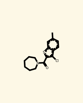 Cc1ccc2c(Cl)c(C(=O)N3CCCCCC3)sc2c1